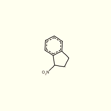 O=[N+]([O-])C1[C]Cc2ccccc21